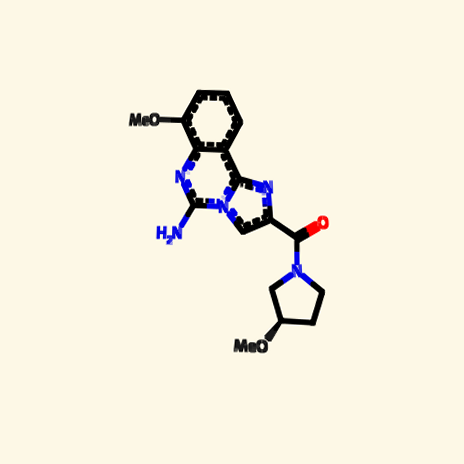 COc1cccc2c1nc(N)n1cc(C(=O)N3CC[C@@H](OC)C3)nc21